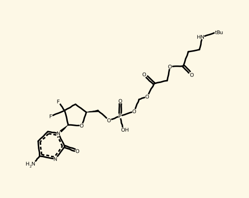 CC(C)(C)NCCC(=O)OCC(=O)OCOP(=O)(O)OC[C@@H]1CC(F)(F)[C@H](n2ccc(N)nc2=O)O1